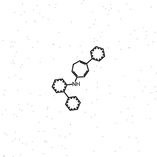 C1=CC(c2ccccc2)=CCC=C1Nc1ccccc1-c1ccccc1